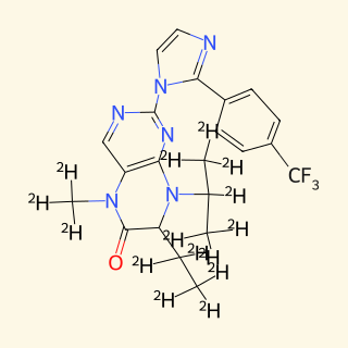 [2H]C([2H])([2H])N1C(=O)C(C([2H])([2H])C([2H])([2H])[2H])N(C([2H])(C([2H])([2H])[2H])C([2H])([2H])[2H])c2nc(-n3ccnc3-c3ccc(C(F)(F)F)cc3)ncc21